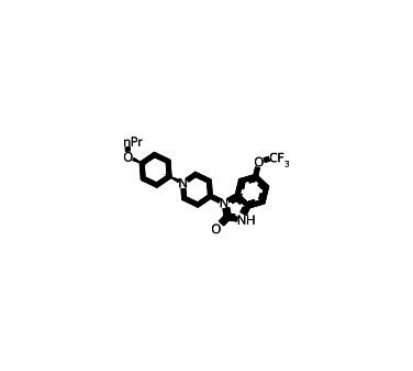 CCCO[C@H]1CC[C@@H](N2CCC(n3c(=O)[nH]c4ccc(OC(F)(F)F)cc43)CC2)CC1